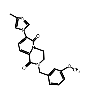 Cc1cn(-c2ccc3n(c2=O)CCN(Cc2cccc(OC(F)(F)F)c2)C3=O)cn1